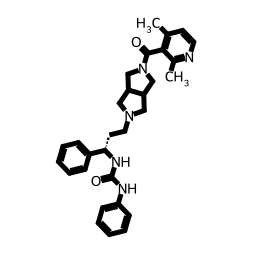 Cc1ccnc(C)c1C(=O)N1CC2CN(CC[C@H](NC(=O)Nc3ccccc3)c3ccccc3)CC2C1